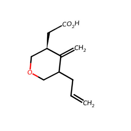 C=CCC1COC[C@@H](CC(=O)O)C1=C